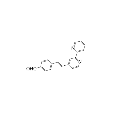 O=Cc1ccc(/C=C/c2ccnc(-c3ccccn3)c2)cc1